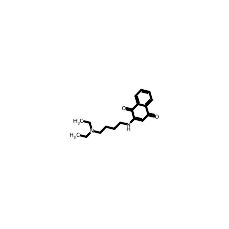 CCN(CC)CCCCNC1=CC(=O)c2ccccc2C1=O